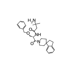 CC(C)(N)CC(=O)N[C@H](COCc1ccccc1)C(=O)N1CCC2(CCc3ccccc32)CC1